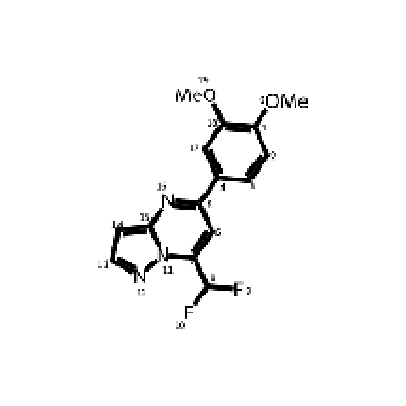 COc1ccc(-c2cc(C(F)F)n3n[c]cc3n2)cc1OC